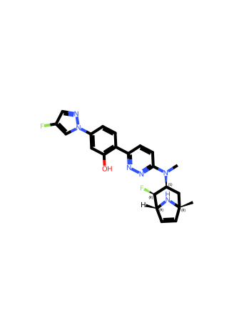 CN(c1ccc(-c2ccc(-n3cc(F)cn3)cc2O)nn1)[C@H]1C[C@]2(C)C=C[C@@H](N2)[C@H]1F